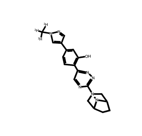 [2H]C([2H])([2H])n1cc(-c2ccc(-c3cnc(N4CC5CCC(C4)N5C)nn3)c(O)c2)cn1